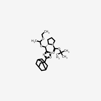 CCOC(C)OC(c1noc(C23CC4CC(CC(C4)C2)C3)n1)[C@@H]1CCCN1C(=O)OC(C)(C)C